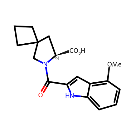 COc1cccc2[nH]c(C(=O)N3CC4(CCC4)C[C@H]3C(=O)O)cc12